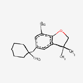 CC(C)(C)c1cc(C2(C=O)CCCCC2)cc2c1OCC2(C)C